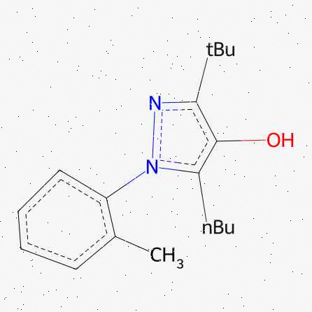 CCCCc1c(O)c(C(C)(C)C)nn1-c1ccccc1C